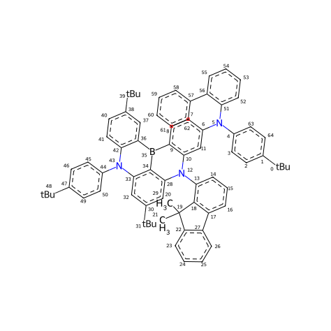 CC(C)(C)c1ccc(N(c2ccc3c(c2)N(c2cccc4c2C(C)(C)c2ccccc2-4)c2cc(C(C)(C)C)cc4c2B3c2cc(C(C)(C)C)ccc2N4c2ccc(C(C)(C)C)cc2)c2ccccc2-c2ccccc2)cc1